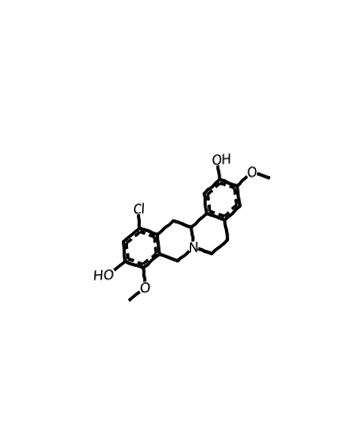 COc1cc2c(cc1O)C1Cc3c(Cl)cc(O)c(OC)c3CN1CC2